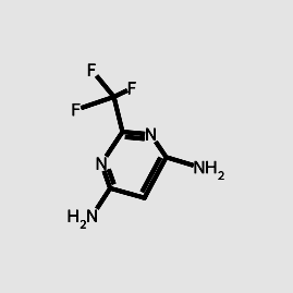 Nc1cc(N)nc(C(F)(F)F)n1